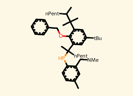 CCCCCC(C)C(C)(C)c1cc(C(C)(C)C)cc(C(C)(CCCCC)Pc2ccc(C)cc2CNC)c1OCc1ccccc1